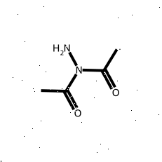 [CH2]C(=O)N(N)C(C)=O